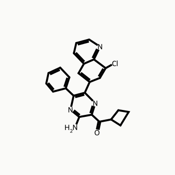 Nc1nc(-c2ccccc2)c(-c2cc(Cl)c3ncccc3c2)nc1C(=O)C1CCC1